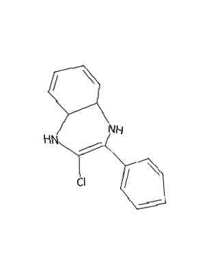 ClC1=C(c2ccccc2)NC2C=CC=CC2N1